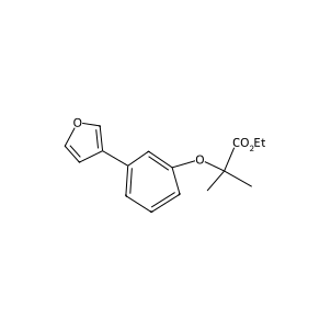 CCOC(=O)C(C)(C)Oc1cccc(-c2ccoc2)c1